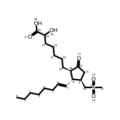 CCCCCCC=C[C@H]1[C@H](CS(C)(=O)=O)CC(=O)[C@@H]1CCCCCC(O)C(=O)O